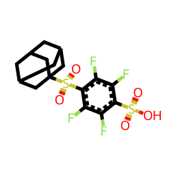 O=S(=O)(O)c1c(F)c(F)c(S(=O)(=O)C23CC4CC(CC(C4)C2)C3)c(F)c1F